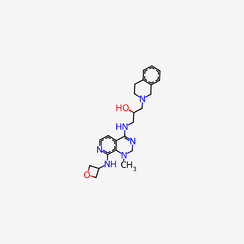 CN1CN=C(NC[C@@H](O)CN2CCc3ccccc3C2)c2ccnc(NC3COC3)c21